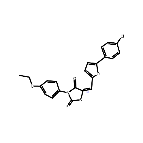 CCOc1ccc(N2C(=O)/C(=C\c3ccc(-c4ccc(Cl)cc4)o3)SC2=S)cc1